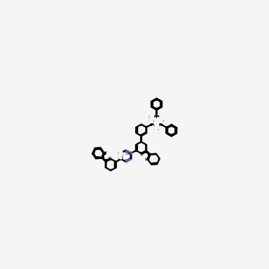 C/C=C(\C=C/C(N)C1=CCCc2c1sc1ccccc21)C1=CC(C2=CC(c3nc(-c4ccccc4)nc(-c4ccccc4)n3)CC=C2)Cc2c1oc1c2CCC=C1